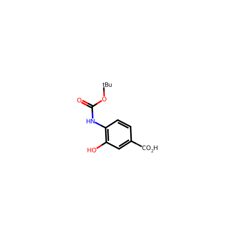 CC(C)(C)OC(=O)Nc1ccc(C(=O)O)cc1O